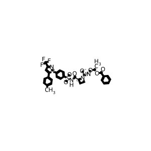 Cc1ccc(-c2cc(C(F)(F)F)nn2-c2ccc(S(=O)(=O)NC(=O)[C@@H]3CCN3[N+]([O-])=NOC(C)OC(=O)c3ccccc3)cc2)cc1